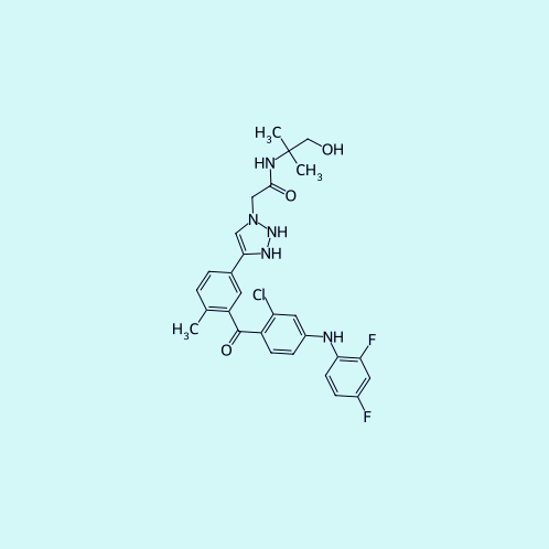 Cc1ccc(C2=CN(CC(=O)NC(C)(C)CO)NN2)cc1C(=O)c1ccc(Nc2ccc(F)cc2F)cc1Cl